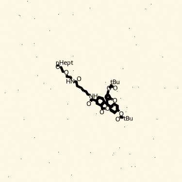 CCCCCCCOCCOCCNC(=O)CCCCCNC(=O)c1ccc2c(c1)C(=O)OC21c2ccc(OC(=O)C(C)(C)C)cc2Oc2cc(OC(=O)C(C)(C)C)ccc21